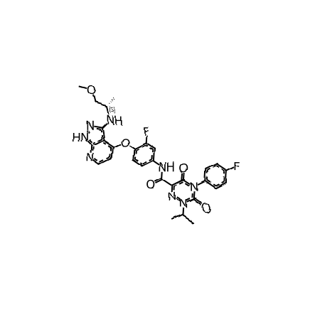 COC[C@H](C)Nc1n[nH]c2nccc(Oc3ccc(NC(=O)c4nn(C(C)C)c(=O)n(-c5ccc(F)cc5)c4=O)cc3F)c12